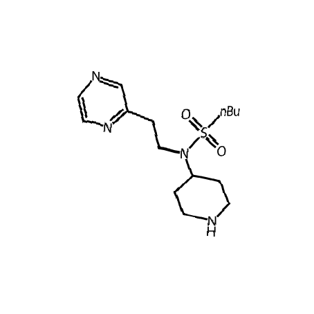 CCCCS(=O)(=O)N(CCc1cnccn1)C1CCNCC1